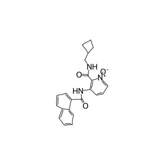 O=C(Nc1ccc[n+]([O-])c1C(=O)NCC1CCC1)c1cccc2ccccc12